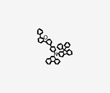 c1ccc(-c2cccc3c2oc2ccc(-c4ccc(N(c5ccc6c(c5)C(c5ccccc5)(c5ccccc5)c5ccccc5-6)c5cc6ccccc6c6ccccc56)cc4)cc23)cc1